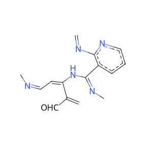 C=Nc1ncccc1/C(=N\C)N/C(=C/C=N\C)C(=C)C=O